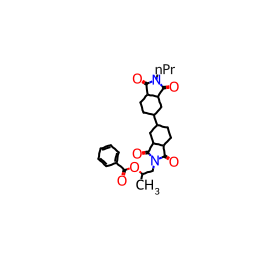 CCCN1C(=O)C2CCC(C3CCC4C(=O)N(CC(C)OC(=O)c5ccccc5)C(=O)C4C3)CC2C1=O